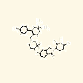 CC1(C)CCC(CN2CCC(Sc3ccc4c(c3)CN(C3CCC(=O)NC3=O)C4=O)C(F)(F)C2)=C(c2ccc(Cl)cc2)C1